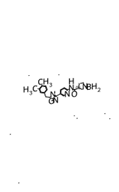 BN1CC[C@H](C(=O)Nc2ccc(-c3noc(Cc4ccc(C)c(C)c4)n3)cn2)C1